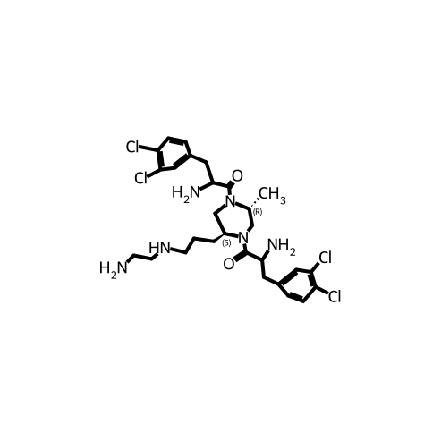 C[C@@H]1CN(C(=O)C(N)Cc2ccc(Cl)c(Cl)c2)[C@@H](CCCNCCN)CN1C(=O)C(N)Cc1ccc(Cl)c(Cl)c1